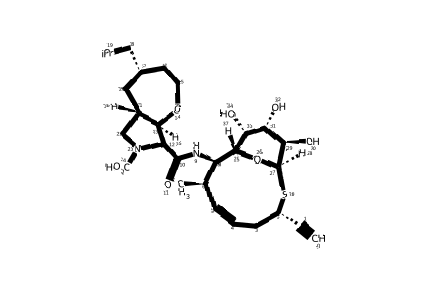 C#C[C@@H]1CC=C[C@@H](C)[C@@H](NC(=O)C2[C@@H]3OCC[C@@H](CC(C)C)C[C@H]3CN2C(=O)O)[C@H]2O[C@H](S1)[C@H](O)[C@@H](O)[C@H]2O